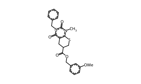 COc1cccc(COC(=O)C2CSc3c(c(=O)n(Cc4ccccc4)c(=O)n3C)C2)c1